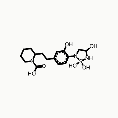 O=C(O)N1CCCCC1CCc1ccc(N2CC(O)NS2(O)O)c(O)c1